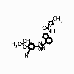 CC1CN(C(=O)N[C@H]2CCc3c(-c4noc(-c5ccc(OC(C)C)c(C#N)c5)n4)cccc32)C1